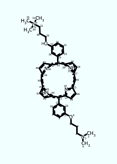 CN(C)CCCOc1cccc(-c2c3nc(cc4ccc([nH]4)c(-c4cccc(OCCC[N+](C)(C)C)c4)c4nc(cc5ccc2[nH]5)C=C4)C=C3)c1